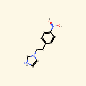 O=[N+]([O-])c1ccc(CCN2C=CNC2)cc1